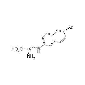 CC(=O)c1ccc2cc(NC[C@H](N)C(=O)O)ccc2c1